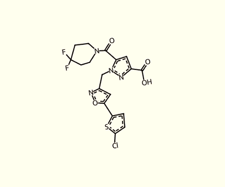 O=C(O)c1cc(C(=O)N2CCC(F)(F)CC2)n(Cc2cc(-c3ccc(Cl)s3)on2)n1